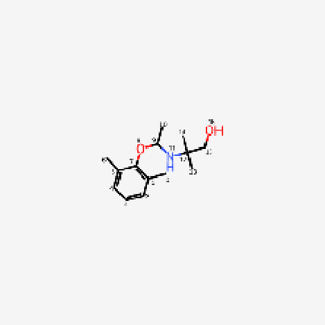 Cc1cccc(C)c1OC(C)NC(C)(C)CO